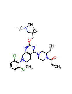 C=CC(=O)N1CCN(c2nc(OCC3(CN(C)C)CC3)nc3c2C[C@H](C)N(c2c(Cl)cccc2Cl)C3)CC1CC#N